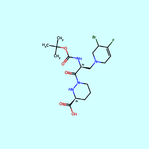 CC(C)(C)OC(=O)N[C@@H](CN1CC=C(F)C(Br)C1)C(=O)N1CCC[C@@H](C(=O)O)N1